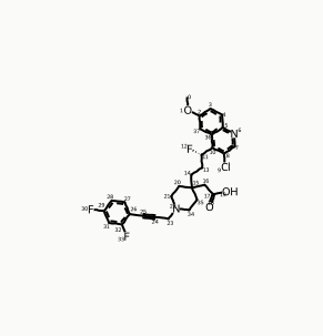 COc1ccc2ncc(Cl)c([C@@H](F)CCC3(CC(=O)O)CCN(CC#Cc4ccc(F)cc4F)CC3)c2c1